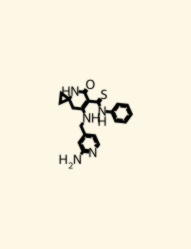 Nc1cc(CNC2=C(C(=S)Nc3ccccc3)C(=O)NC3(CC3)C2)ccn1